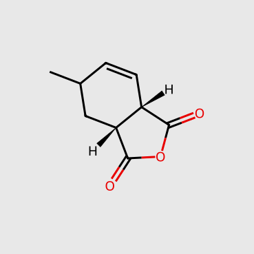 CC1C=C[C@@H]2C(=O)OC(=O)[C@@H]2C1